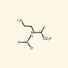 CCN(CC)CC.C[C@H](NCCN)C(=O)O